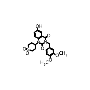 COc1ccc(Cn2c(=O)c3cc(O)ccc3n(C3CCS(=O)(=O)CC3)c2=O)cc1OC